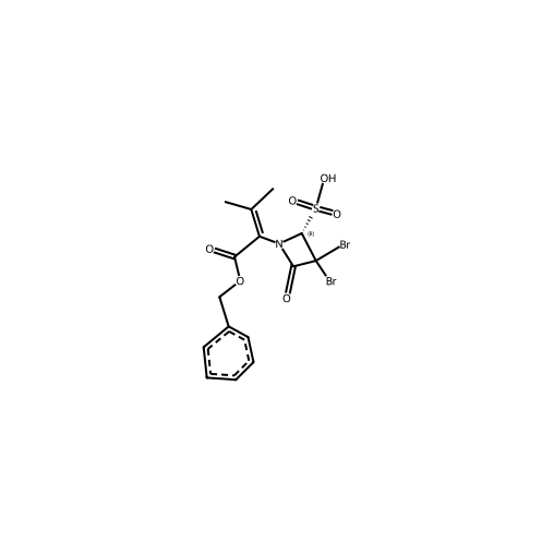 CC(C)=C(C(=O)OCc1ccccc1)N1C(=O)C(Br)(Br)[C@H]1S(=O)(=O)O